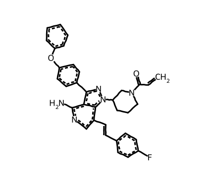 C=CC(=O)N1CCCC(n2nc(-c3ccc(Oc4ccccc4)cc3)c3c(N)ncc(C=Cc4ccc(F)cc4)c32)C1